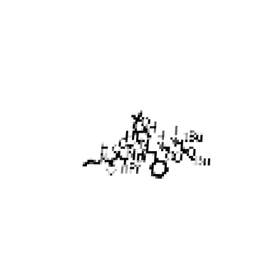 C=CCNC(=O)C(=O)C(CCC)NC(=O)[C@@H]1[C@H]2CC(C)(C)O[C@H]2CN1C(=O)[C@@H](NC(=O)N[C@H](C(=O)OC(C)(C)C)C(C)(C)C)C1CCCCC1